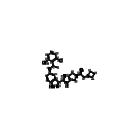 CC(Oc1ccc2[nH]nc(-c3nc4c([nH]3)CN(C(=O)CN3CCC3)C4)c2c1)c1c(Cl)cncc1Cl